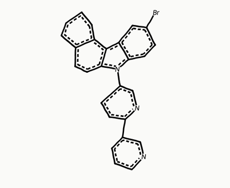 Brc1ccc2c(c1)c1c3ccccc3ccc1n2-c1ccc(-c2cccnc2)nc1